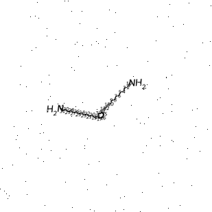 NCCCCCCCCCCCCCc1cccc(CCCCCCCCCCCCCN)c1